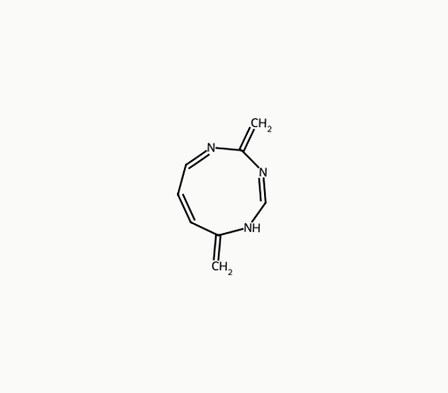 C=c1ncccc(=C)[nH]cn1